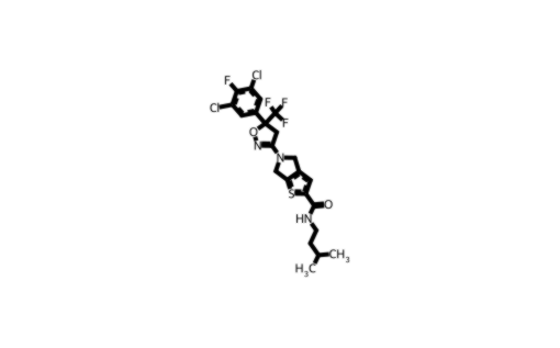 CC(C)CCNC(=O)c1cc2c(s1)CN(C1=NOC(c3cc(Cl)c(F)c(Cl)c3)(C(F)(F)F)C1)C2